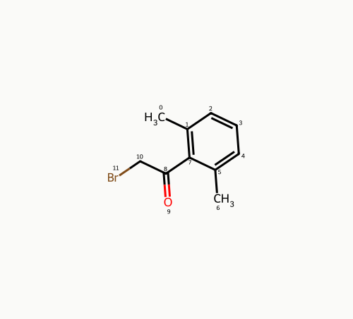 Cc1cccc(C)c1C(=O)CBr